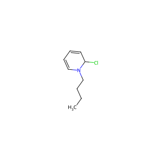 CCCCN1C=CC=CC1Cl